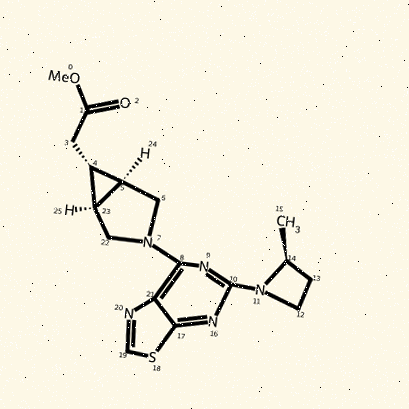 COC(=O)C[C@@H]1[C@H]2CN(c3nc(N4CC[C@@H]4C)nc4scnc34)C[C@@H]12